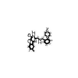 Cc1ccc2oc3c(=O)[nH]c(CNCc4ccccc4N4CCN(C)CC4)nc3c2c1